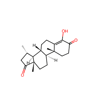 C[C@H]1CC(=O)[C@@]2(C)CC[C@H]3[C@@H](CCC4=C(O)C(=O)CC[C@@]43C)[C@H]12